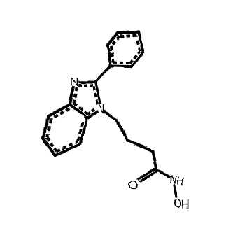 O=C(CCCn1c(-c2ccccc2)nc2ccccc21)NO